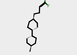 C[C@H]1CC[C@H]([C@H]2CC[C@H](CCC=C(F)F)CC2)CC1